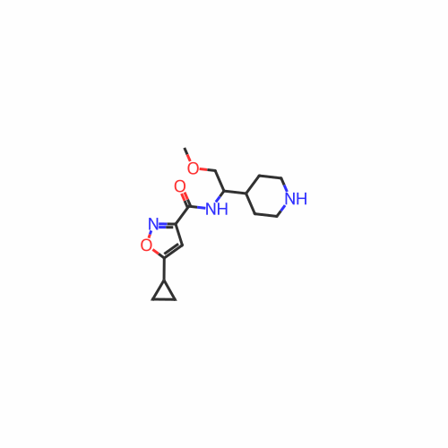 COCC(NC(=O)c1cc(C2CC2)on1)C1CCNCC1